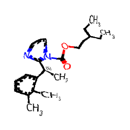 CCC(CC)COC(=O)n1ccnc1[C@@H](C)c1cccc(C)c1C